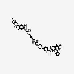 CC(=O)c1c(C)c2cnc(Nc3ccc(N4CCN(CC(=O)NCCCCCNC(=O)CNc5ccc(C(=O)Nc6ncc(C)s6)c(C)c5)CC4)cn3)nc2n(C2CCCC2)c1=O